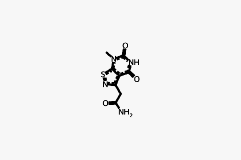 Cn1c(=O)[nH]c(=O)c2c(CC(N)=O)nsc21